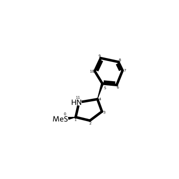 CS[C@@H]1CC[C@H](c2ccccc2)N1